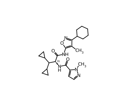 Cc1c(C2CCCCC2)noc1NC(=O)[C@@H](NC(=O)c1ccnn1C)C(C1CC1)C1CC1